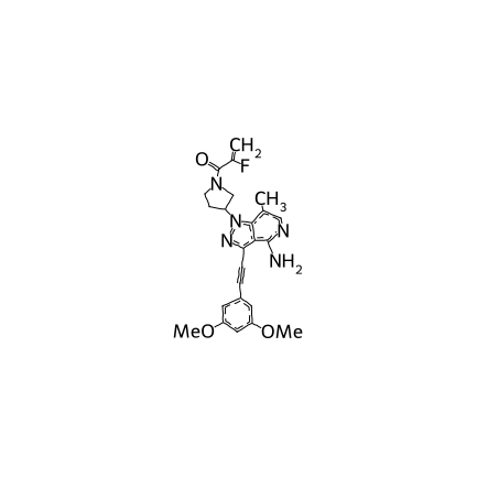 C=C(F)C(=O)N1CCC(n2nc(C#Cc3cc(OC)cc(OC)c3)c3c(N)ncc(C)c32)C1